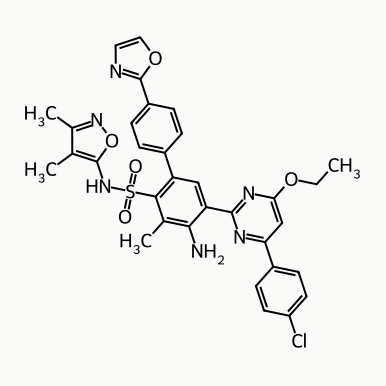 CCOc1cc(-c2ccc(Cl)cc2)nc(-c2cc(-c3ccc(-c4ncco4)cc3)c(S(=O)(=O)Nc3onc(C)c3C)c(C)c2N)n1